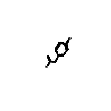 C=C(Cc1ccc(O)cc1)C(C)=O